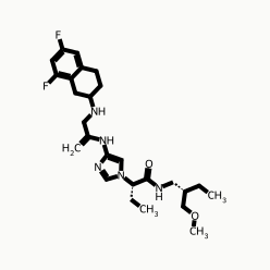 C=C(CNC1CCc2cc(F)cc(F)c2C1)Nc1cn([C@@H](CC)C(=O)NC[C@H](CC)COC)cn1